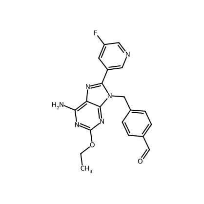 CCOc1nc(N)c2nc(-c3cncc(F)c3)n(Cc3ccc(C=O)cc3)c2n1